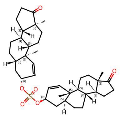 C[C@]12C=C[C@H](OS(=O)(=O)O[C@H]3C=C[C@@]4(C)[C@@H](CC[C@@H]5[C@@H]4CC[C@]4(C)C(=O)CC[C@@H]54)C3)C[C@@H]1CC[C@@H]1[C@@H]2CC[C@]2(C)C(=O)CC[C@@H]12